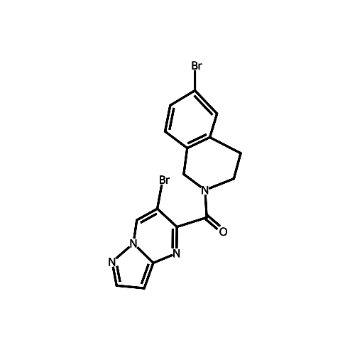 O=C(c1nc2ccnn2cc1Br)N1CCc2cc(Br)ccc2C1